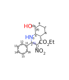 CCOC(=O)/C(=C(\NC1CCCC[C@H]1O)c1ccccc1)[N+](=O)[O-]